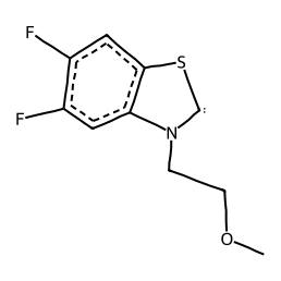 COCCN1[C]Sc2cc(F)c(F)cc21